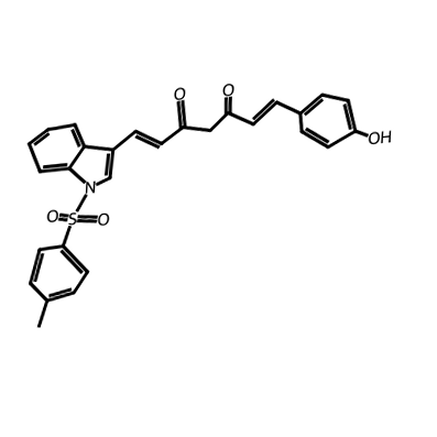 Cc1ccc(S(=O)(=O)n2cc(/C=C/C(=O)CC(=O)/C=C/c3ccc(O)cc3)c3ccccc32)cc1